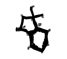 CC1(C)CNc2ncccc21